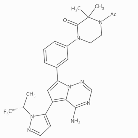 CC(=O)N1CCN(c2cccc(-c3cc(-c4ccnn4[C@@H](C)C(F)(F)F)c4c(N)ncnn34)c2)C(=O)C1(C)C